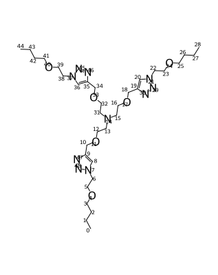 CCCCOCCn1cc(COCCN(CCOCc2cn(CCOCCCC)nn2)CCOCc2cn(CCOCCCC)nn2)nn1